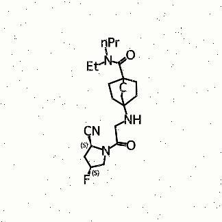 CCCN(CC)C(=O)C12CCC(NCC(=O)N3C[C@@H](F)C[C@H]3C#N)(CC1)CC2